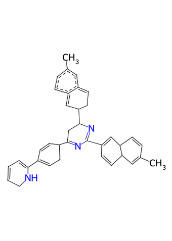 CC1=CC2C=CC(C3=NC(C4C=c5ccc(C)cc5=CC4)CC(C4C=CC(C5=CC=CCN5)=CC4)=N3)=CC2C=C1